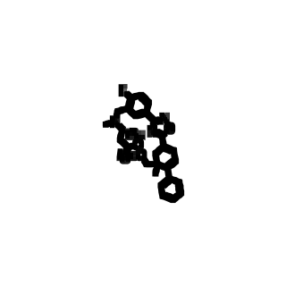 COCC1(C)CC(c2nc(-c3ccc(F)c(CN(C)CCC(=O)OC(C)(C)C)c3)no2)=CC=C1c1ccccc1